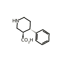 O=C(O)[C@H]1CNCC[C@@H]1c1ccccc1